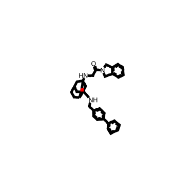 O=C(CNC12CC3CCC(C(C3)C1)C(NCc1ccc(-c3ccccc3)cc1)C2)N1Cc2ccccc2C1